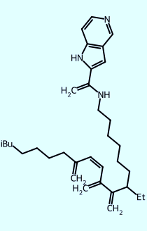 C=C(/C=C\C(=C)C(=C)C(CC)CCCCCCNC(=C)c1cc2cnccc2[nH]1)CCCCC(C)CC